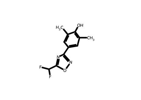 Cc1cc(-c2noc(C(F)F)n2)cc(C)c1O